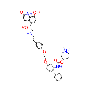 C[N+]1(C)CCC(OC(=O)Nc2cc(OCCOc3ccc(CCNC[C@@H](O)c4ccc(O)c5[nH]c(=O)ccc45)cc3)ccc2-c2ccccc2)CC1